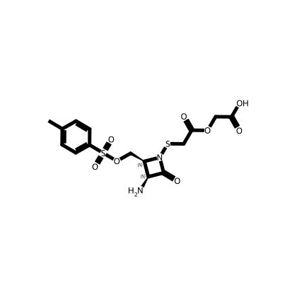 Cc1ccc(S(=O)(=O)OC[C@@H]2[C@H](N)C(=O)N2SCC(=O)OCC(=O)O)cc1